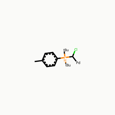 Cc1ccc([PH]([CH](Cl)[Pd])(C(C)(C)C)C(C)(C)C)cc1